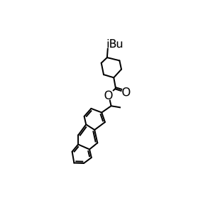 CCC(C)C1CCC(C(=O)OC(C)c2ccc3cc4ccccc4cc3c2)CC1